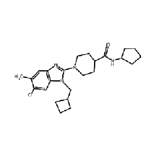 Cc1cc2nc(N3CCC(C(=O)NC4CCCC4)CC3)n(CC3CCC3)c2cc1Cl